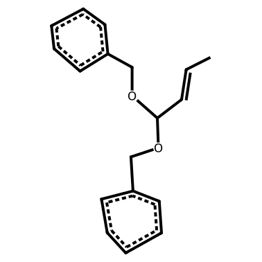 CC=CC(OCc1ccccc1)OCc1ccccc1